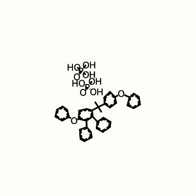 CC(C)(c1ccc(Oc2ccccc2)cc1)c1ccc(Oc2ccccc2)c(-c2ccccc2)c1-c1ccccc1.O=P(O)(O)O.O=P(O)(O)O